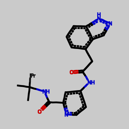 CC(C)C(C)(C)NC(=O)c1cc(NC(=O)Cc2cccc3[nH]ncc23)ccn1